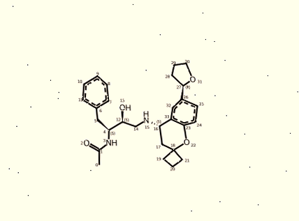 CC(=O)N[C@@H](Cc1ccccc1)[C@@H](O)CN[C@H]1CC2(CCC2)Oc2ccc([C@H]3CCCO3)cc21